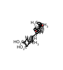 COc1cccc(OC)c1/C(=C/C(=N)C1=NC2(C(=O)O1)C(C)CC1CC(C)CC2C1)Nc1ccc(SCCCN(C)CCCN(C)C(=O)CN2CCN(CC(=O)O)CCN(CC(=O)O)CCN(CC(=O)O)CC2)cc1C(C)C